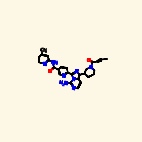 CC#CC(=O)N1CCCC(c2nc(-c3ccc(C(=O)Nc4cc(C#N)ccn4)cn3)n3c(N)nccc23)C1